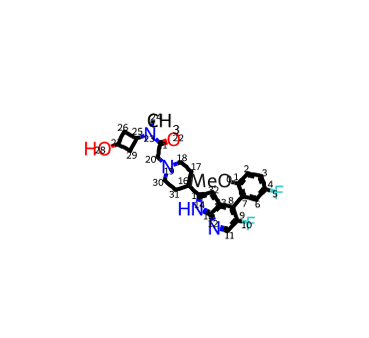 COc1ccc(F)cc1-c1c(F)cnc2[nH]c(C3CCN(CC(=O)N(C)C4CC(O)C4)CC3)cc12